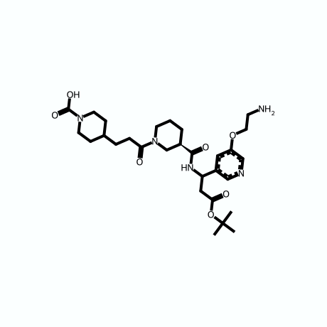 CC(C)(C)OC(=O)CC(NC(=O)[C@@H]1CCCN(C(=O)CCC2CCN(C(=O)O)CC2)C1)c1cncc(OCCN)c1